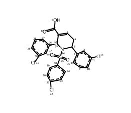 O=C(O)C1=CCC(c2cccc(Cl)c2)N(S(=O)(=O)c2ccc(Cl)cc2)[C@H]1c1cccc(Cl)c1